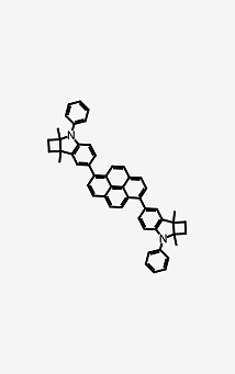 CC12CCC1(C)N(c1ccccc1)c1ccc(-c3ccc4ccc5c(-c6ccc7c(c6)C6(C)CCC6(C)N7c6ccccc6)ccc6ccc3c4c65)cc12